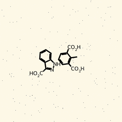 Cc1c(C(=O)O)cccc1C(=O)O.O=C(O)c1n[nH]c2ccccc12